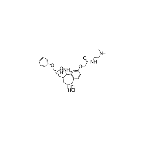 CN(C)CCNC(=O)COc1ccc2c(c1)C(N)C(C[C@H](O)COc1ccccc1)CCC2.Cl.Cl